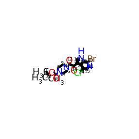 CC(C)(C)OC(=O)N1CCN(C(=O)C(=O)c2c[nH]c3c(Br)ncc(Cl)c23)CC1